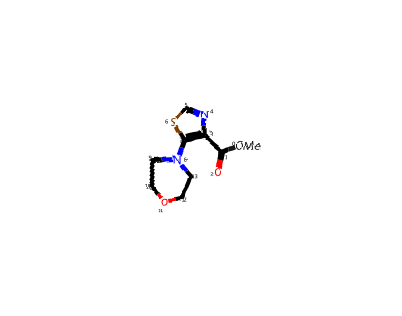 COC(=O)c1ncsc1N1CCOCC1